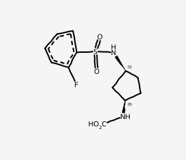 O=C(O)N[C@@H]1CC[C@H](NS(=O)(=O)c2ccccc2F)C1